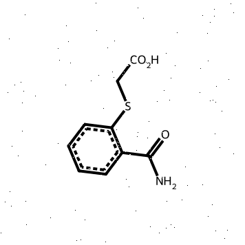 NC(=O)c1ccccc1SCC(=O)O